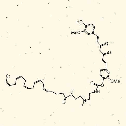 CC/C=C\C/C=C\C/C=C\C/C=C\C/C=C\CCCC(=O)NCCN(C)CCNC(=O)Oc1ccc(/C=C/C(=O)CC(=O)/C=C/c2ccc(O)c(OC)c2)cc1OC